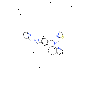 c1ccc(CNCc2ccc(CN(Cc3nccs3)C3CCCCc4cccnc43)cc2)nc1